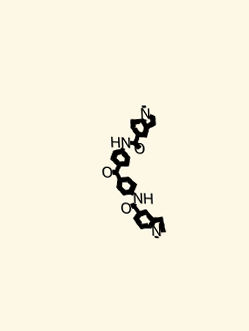 Cn1ccc2cc(C(=O)Nc3ccc(C(=O)c4ccc(NC(=O)c5ccc6c(ccn6C)c5)cc4)cc3)ccc21